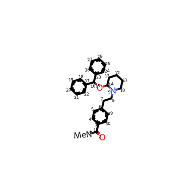 CNC(=O)c1ccc(CCN2CCCCC2OC(c2ccccc2)c2ccccc2)cc1